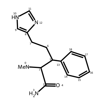 CNC(C(N)=O)C(CCc1c[nH]cn1)c1ccccc1